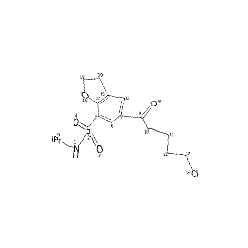 CC(C)NS(=O)(=O)c1cc(C(=O)CCCCCl)cc2c1OCC2